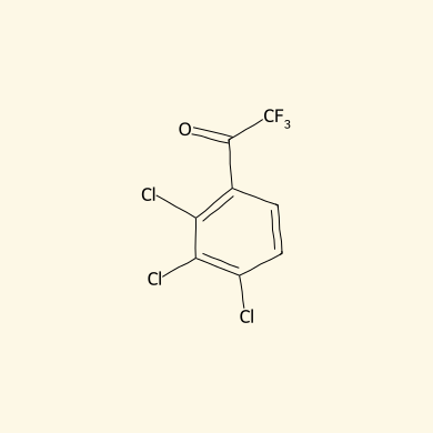 O=C(c1ccc(Cl)c(Cl)c1Cl)C(F)(F)F